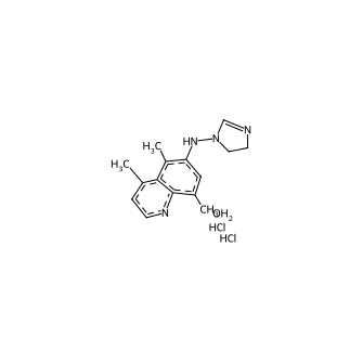 Cc1cc(NN2C=NCC2)c(C)c2c(C)ccnc12.Cl.Cl.O